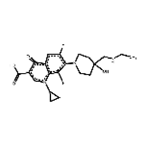 CCNCC1(O)CCN(c2c(F)cc3c(=O)c(C(=O)O)cn(C4CC4)c3c2F)CC1